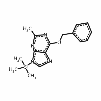 Cc1nc(OCc2ccccc2)c2ncn([Si](C)(C)C)c2n1